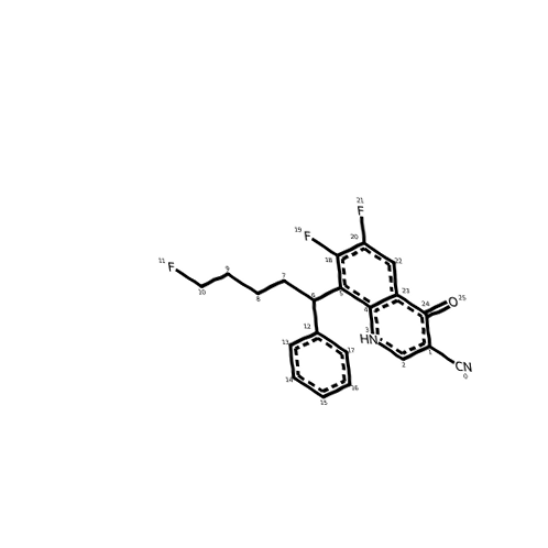 N#Cc1c[nH]c2c(C(CCCCF)c3ccccc3)c(F)c(F)cc2c1=O